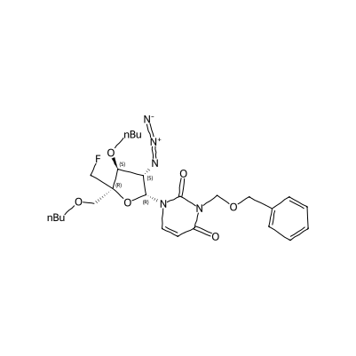 CCCCOC[C@@]1(CF)O[C@@H](n2ccc(=O)n(COCc3ccccc3)c2=O)[C@@H](N=[N+]=[N-])[C@@H]1OCCCC